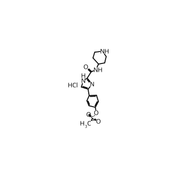 CS(=O)(=O)Oc1ccc(-c2c[nH]c(C(=O)NC3CCNCC3)n2)cc1.Cl